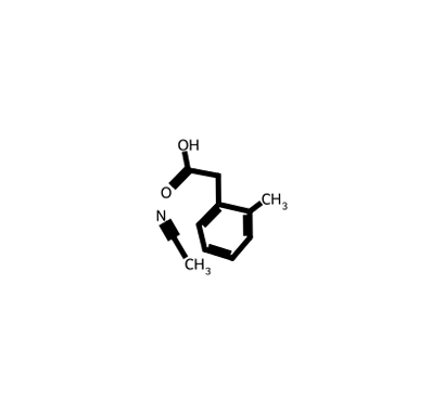 CC#N.Cc1ccccc1CC(=O)O